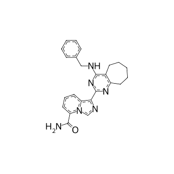 NC(=O)c1cccc2c(-c3nc4c(c(NCc5ccccc5)n3)CCCCC4)ncn12